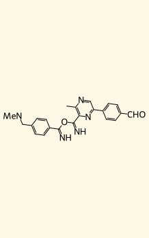 CNCc1ccc(C(=N)OC(=N)c2nc(-c3ccc(C=O)cc3)cnc2C)cc1